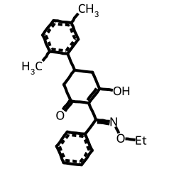 CCON=C(C1=C(O)CC(c2cc(C)ccc2C)CC1=O)c1ccccc1